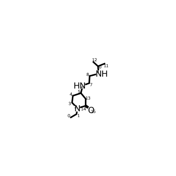 CCN1CCC(NCCNC(C)C)CC1=O